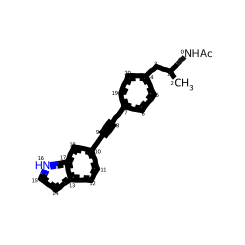 CC(=O)NC(C)Cc1ccc(C#Cc2ccc3cc[nH]c3c2)cc1